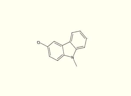 Cn1c2c[c]ccc2c2cc(Cl)ccc21